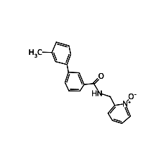 Cc1cccc(-c2cccc(C(=O)NCc3cccc[n+]3[O-])c2)c1